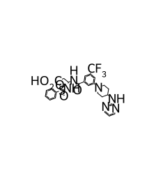 O=C(O)CC(NC(=O)c1cc(N2CCC(Nc3ncccn3)CC2)cc(C(F)(F)F)c1)NS(=O)(=O)c1ccccc1